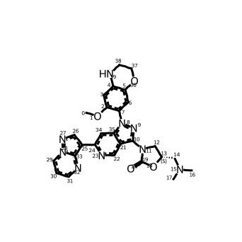 COc1cc2c(cc1-n1nc(N3C[C@H](CN(C)C)OC3=O)c3cnc(-c4cnn5cccnc45)cc31)OCCN2